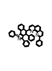 c1ccc(-c2ccc3ccc4ccc(-c5c(-c6ccccc6)c6c(-c7ccccc7)nn(-c7ccccc7)c6c6ccccc56)nc4c3n2)cc1